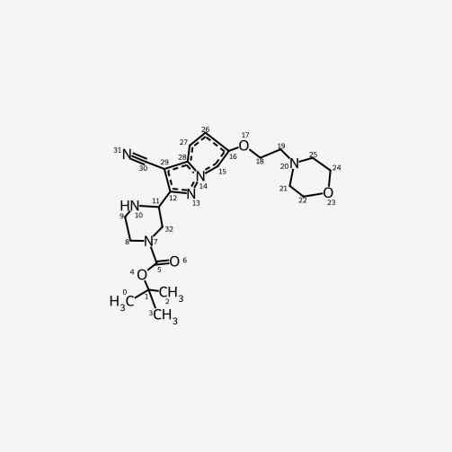 CC(C)(C)OC(=O)N1CCNC(c2nn3cc(OCCN4CCOCC4)ccc3c2C#N)C1